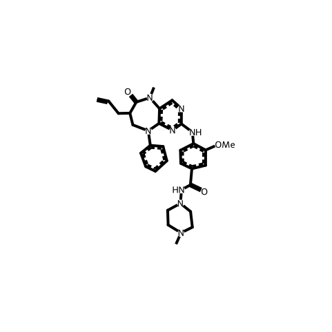 C=CCC1CN(c2ccccc2)c2nc(Nc3ccc(C(=O)NN4CCN(C)CC4)cc3OC)ncc2N(C)C1=O